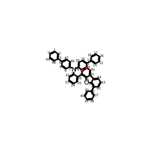 c1ccc(-c2ccc(N(c3ccc(-c4ccccc4)cc3)c3ccccc3-c3cccc4c3oc3c(-c5ccccc5)cccc34)cc2)cc1